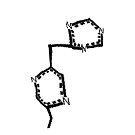 Cc1cnc(Cc2ncncn2)cn1